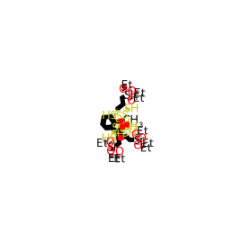 CCO[Si](CCCC(S)(c1ccccc1C(C)(S(S)(CCC[Si](OCC)(OCC)OCC)SS)S(S)(CCC[Si](OCC)(OCC)OCC)SS)C(S)(S)S)(OCC)OCC